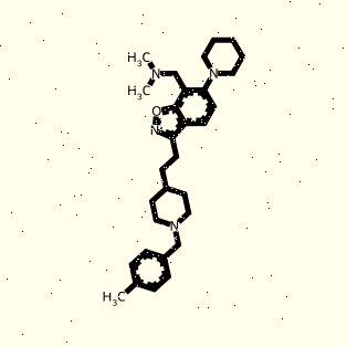 Cc1ccc(CN2CCC(CCc3noc4c(CN(C)C)c(N5CCCCC5)ccc34)CC2)cc1